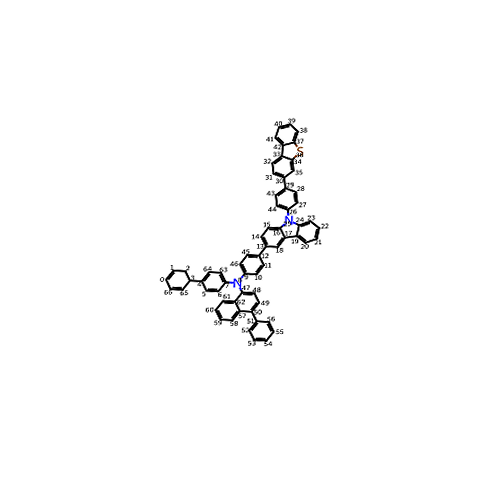 C1=CCC(c2ccc(N(c3ccc(-c4ccc5c(c4)c4ccccc4n5-c4ccc(-c5ccc6c(c5)sc5ccccc56)cc4)cc3)c3ccc(-c4ccccc4)c4ccccc34)cc2)C=C1